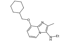 CCNc1c(C)nc2c(OCC3CCCCC3)cccn12